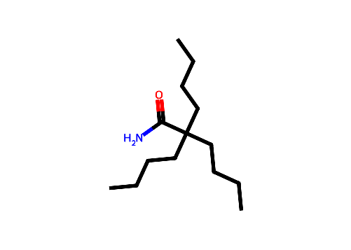 CCCCC(CCCC)(CCCC)C(N)=O